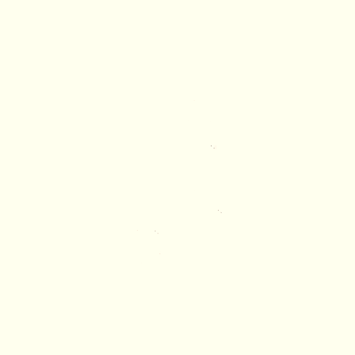 CC(C)(C)OC(=O)NCCOc1ncc(F)cc1CN1C(=O)c2ccccc2C1=O